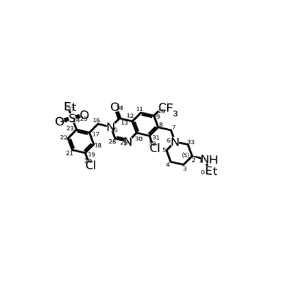 CCN[C@H]1CCCN(Cc2c(C(F)(F)F)cc3c(=O)n(Cc4cc(Cl)ccc4S(=O)(=O)CC)cnc3c2Cl)C1